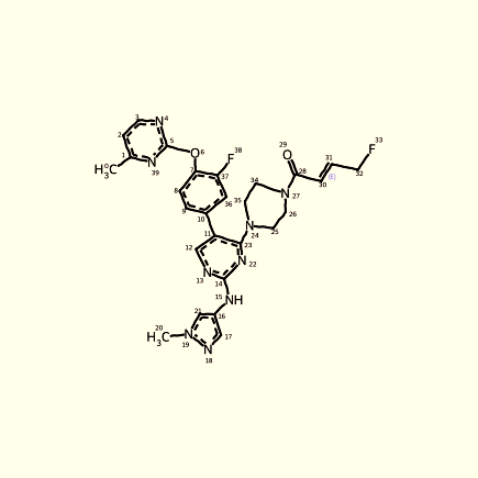 Cc1ccnc(Oc2ccc(-c3cnc(Nc4cnn(C)c4)nc3N3CCN(C(=O)/C=C/CF)CC3)cc2F)n1